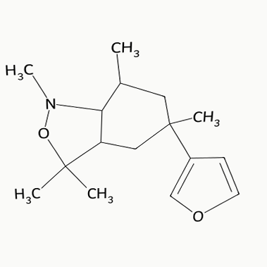 CC1CC(C)(c2ccoc2)CC2C1N(C)OC2(C)C